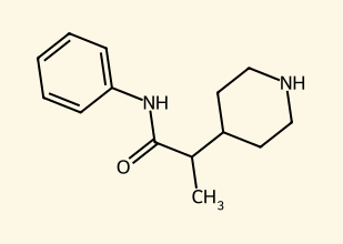 CC(C(=O)Nc1ccccc1)C1CCNCC1